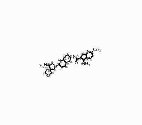 Cc1ccc2c(N)c(C(=O)N[C@H]3COc4nc(N5C[C@H](N)[C@@]6(CCOC6)C5)ccc4C3)sc2n1